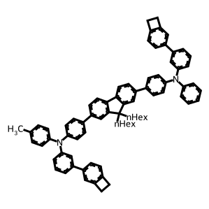 CCCCCCC1(CCCCCC)c2cc(-c3ccc(N(c4ccccc4)c4cccc(-c5ccc6c(c5)CC6)c4)cc3)ccc2-c2ccc(-c3ccc(N(c4ccc(C)cc4)c4cccc(-c5ccc6c(c5)CC6)c4)cc3)cc21